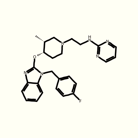 C[C@@H]1CN(CCNc2ncccn2)CC[C@@H]1Oc1nc2ccccc2n1Cc1ccc(F)cc1